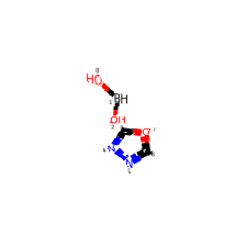 OBO.c1nnco1